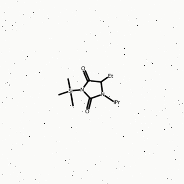 CCC1C(=O)N([Si](C)(C)C)C(=O)N1C(C)C